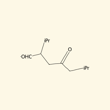 CC(C)CC(=O)CC([C]=O)C(C)C